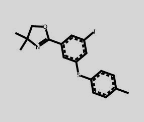 Cc1ccc(Sc2cc(I)cc(C3=NC(C)(C)CO3)c2)cc1